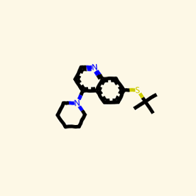 CC(C)(C)Sc1ccc2c(N3CCCCC3)ccnc2c1